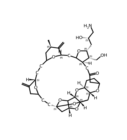 C=C1CC2CC[C@@]34C[C@H]5O[C@H]6C(O3)[C@H]3OC(CC[C@@H]3O[C@H]6C5O4)CC(=O)C[C@H]3C(C[C@H]4OC(CC[C@@H]1O2)C[C@@H](C)C4=C)O[C@H](C[C@H](O)CN)[C@@H]3CO